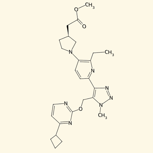 CCc1nc(-c2nnn(C)c2COc2nccc(C3CCC3)n2)ccc1N1CC[C@@H](CC(=O)OC)C1